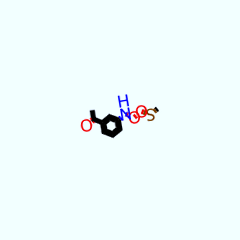 CSOONc1cccc(C(C)=O)c1